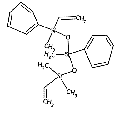 C=C[Si](C)(C)O[Si](C)(O[Si](C)(C=C)c1ccccc1)c1ccccc1